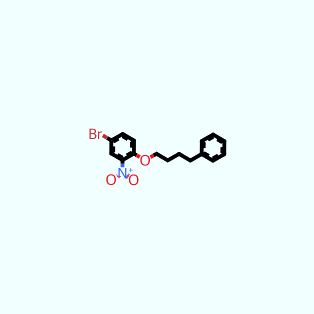 O=[N+]([O-])c1cc(Br)ccc1OCCCCc1ccccc1